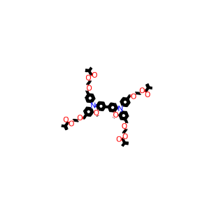 C=C(C)C(=O)OCCOCc1ccc(N(c2ccc(COCCOC(=O)C(=C)C)cc2)c2ccc(-c3ccc(N(c4ccc(COCCOC(=O)C(=C)C)cc4)c4ccc(COCCOC(=O)C(=C)C)cc4)c(OC)c3)cc2OC)cc1